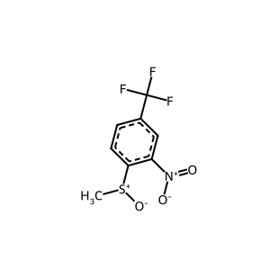 C[S+]([O-])c1ccc(C(F)(F)F)cc1[N+](=O)[O-]